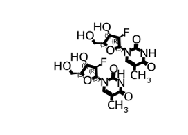 Cc1cn([C@H]2O[C@@H](CO)[C@H](O)[C@H]2F)c(=O)[nH]c1=O.Cc1cn([C@H]2O[C@@H](CO)[C@H](O)[C@H]2F)c(=O)[nH]c1=O